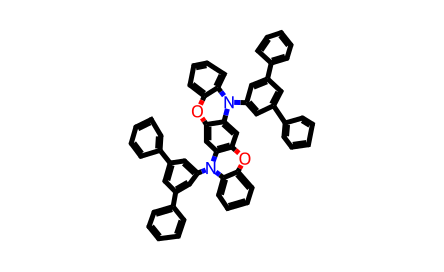 c1ccc(-c2cc(-c3ccccc3)cc(-n3c4ccccc4oc4cc5c(cc43)oc3ccccc3n5-c3cc(-c4ccccc4)cc(-c4ccccc4)c3)c2)cc1